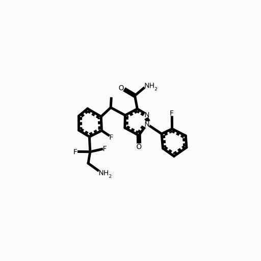 CC(c1cc(=O)n(-c2ccccc2F)nc1C(N)=O)c1cccc(C(F)(F)CN)c1F